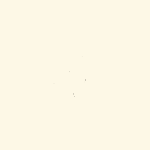 CC(F)(F)OC(F)F